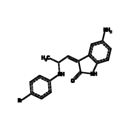 CC(C=C1C(=O)Nc2ccc(N)cc21)Nc1ccc(Br)cc1